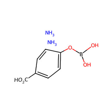 N.N.O=C(O)c1ccc(OB(O)O)cc1